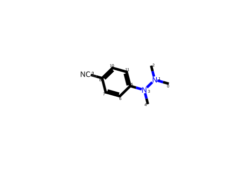 CN(C)N(C)c1ccc(C#N)cc1